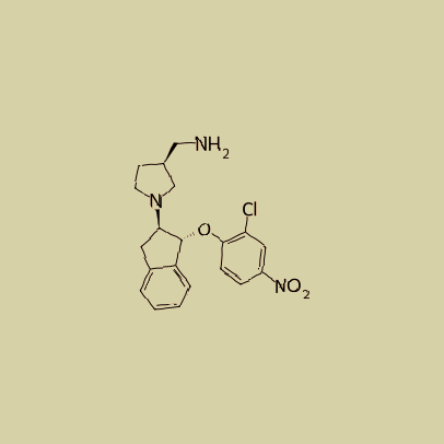 NC[C@@H]1CCN([C@@H]2Cc3ccccc3[C@H]2Oc2ccc([N+](=O)[O-])cc2Cl)C1